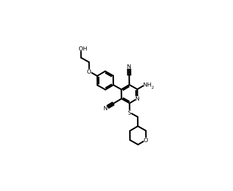 N#Cc1c(N)nc(SCC2CCCOC2)c(C#N)c1-c1ccc(OCCO)cc1